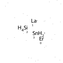 [Er].[La].[SiH4].[SnH2]